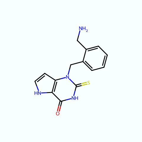 NCc1ccccc1Cn1c(=S)[nH]c(=O)c2[nH]ccc21